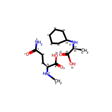 CN[C@@H](CCC(N)=O)C(=O)O.C[C@H](NC1CCCCC1)C(=O)O